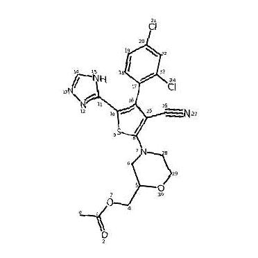 CC(=O)OCC1CN(c2sc(-c3nnc[nH]3)c(-c3ccc(Cl)cc3Cl)c2C#N)CCO1